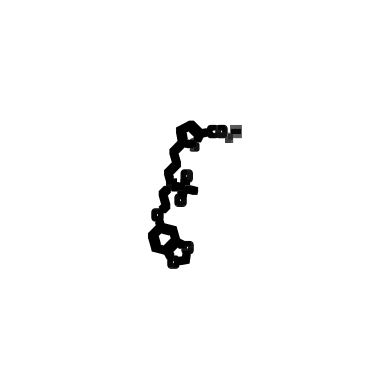 CS(=O)(=O)N(CCCc1ccc(C(=O)O)s1)CCOc1ccc2c(c1)OCO2